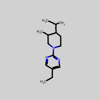 CCc1cnc(N2CCC(C(C)C)C(C)C2)nc1